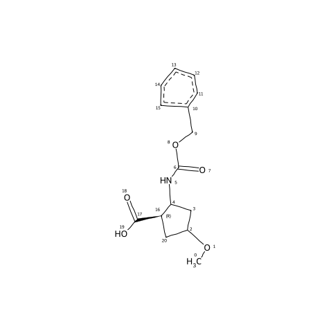 COC1CC(NC(=O)OCc2ccccc2)[C@H](C(=O)O)C1